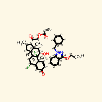 CCCCC(=O)OCC(=O)[C@H]1[C@H](C)C[C@H]2[C@@H]3C[C@H](F)C4=CC(=O)C=C[C@]4(C)[C@@]3(F)[C@@H](O)C[C@@]21C.O=C(O)COc1nn(Cc2ccccc2)c2ccccc12